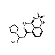 COC(CC(=O)c1cccc2c1C(N)=NS(=O)(=O)N2)N1CCCC1